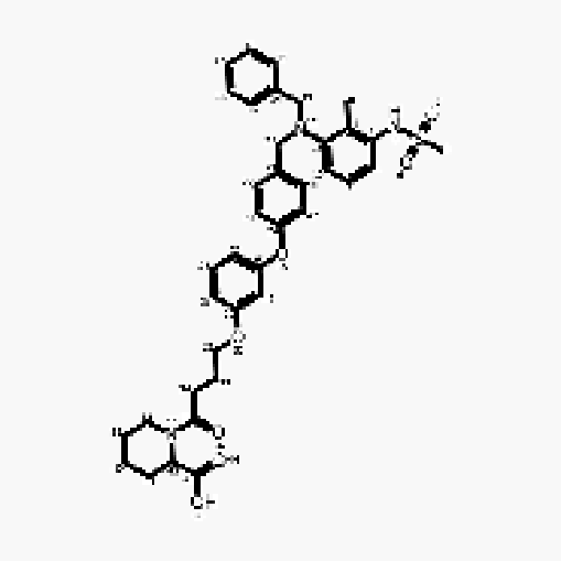 Cc1c(NS(C)(=O)=O)cccc1N(Cc1ccccc1)Cc1ccc(Oc2cccc(OCCCC(=O)N3CCCCC3C(=O)O)c2)cc1